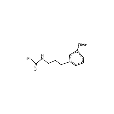 COc1cccc(CCCNC(=O)C(C)C)c1